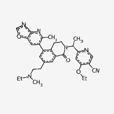 CCOc1cc(C(C)N2CCc3c(cc(CCN(C)CC)cc3-c3cc4ocnc4nc3C)C2=O)ncc1C#N